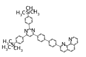 C[Si](C)(C)c1ccc(-c2cc(-c3ccc(-c4ccc(-c5ccc6ccc7cccnc7c6n5)cc4)cc3)nc(-c3ccc([Si](C)(C)C)cc3)n2)cc1